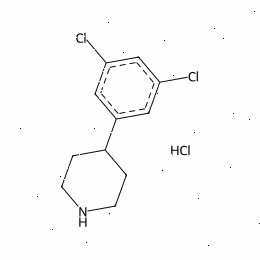 Cl.Clc1cc(Cl)cc(C2CCNCC2)c1